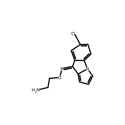 NCCO/N=C1/c2cc(Cl)ccc2-n2cccc21